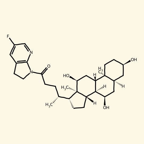 C[C@H](CCC(=O)N1CCc2cc(F)cnc21)[C@H]1CC[C@H]2[C@@H]3[C@H](O)C[C@@H]4C[C@H](O)CC[C@]4(C)[C@H]3C[C@H](O)[C@]12C